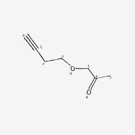 C#CCCOCC(C)=O